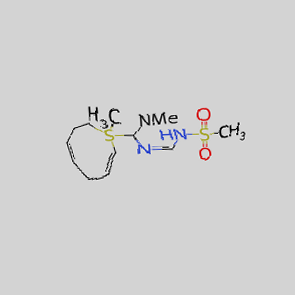 CNC(/N=C\NS(C)(=O)=O)S1(C)/C=C\C/C=C\CC1